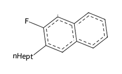 CCCCCCCc1cc2ccccc2[c]c1F